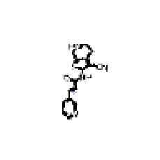 N#Cc1c(NC(=O)/C=C/c2cccnc2)sc2c1CCNC2